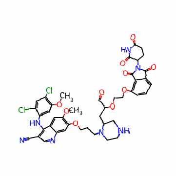 COc1cc(Nc2c(C#N)cnc3cc(OCCCN4CCNCC4CC(C=O)OCCOc4cccc5c4C(=O)N(C4CCC(=O)NC4=O)C5=O)c(OC)cc23)c(Cl)cc1Cl